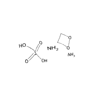 C1COO1.N.N.O=S(=O)(O)O